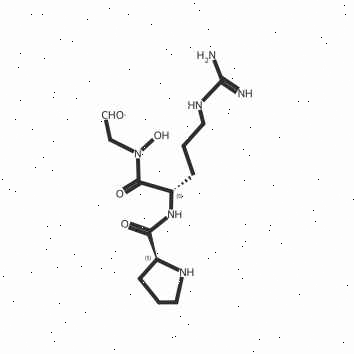 N=C(N)NCCC[C@H](NC(=O)[C@@H]1CCCN1)C(=O)N(O)C[C]=O